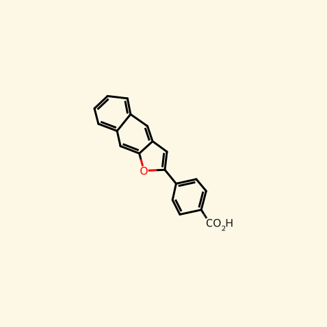 O=C(O)c1ccc(-c2cc3cc4ccccc4cc3o2)cc1